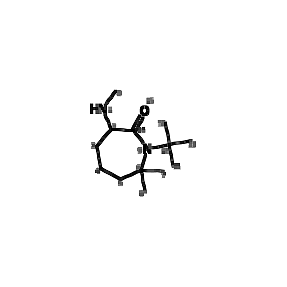 CNC1CCCC(C)(C)N(C(C)(C)C)C1=O